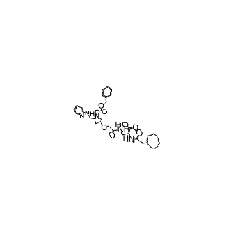 O=C(COC1CC(CNc2ccccn2)N(OC(=O)OCc2ccccc2)C1)NCC(NC(=O)CC1CCCCCC1)C(=O)O